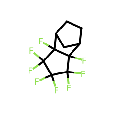 FC1(F)C(F)(F)C2(F)C3CCC(C3)C2(F)C1(F)F